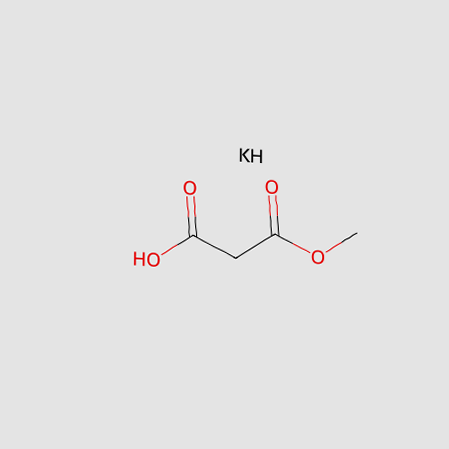 COC(=O)CC(=O)O.[KH]